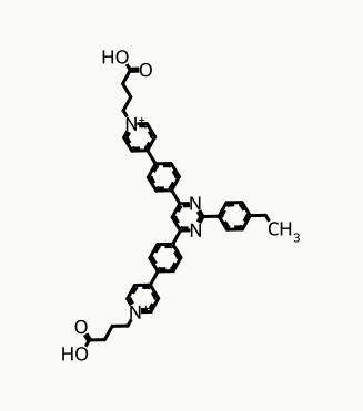 CCc1ccc(-c2nc(-c3ccc(-c4cc[n+](CCCC(=O)O)cc4)cc3)cc(-c3ccc(-c4cc[n+](CCCC(=O)O)cc4)cc3)n2)cc1